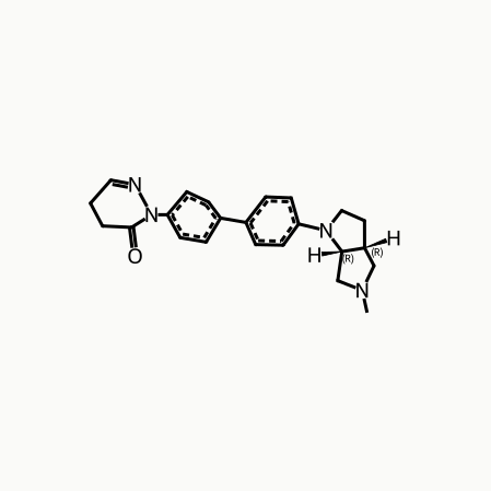 CN1C[C@H]2CCN(c3ccc(-c4ccc(N5N=CCCC5=O)cc4)cc3)[C@H]2C1